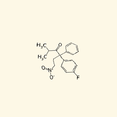 CC(C)C(=O)C(CC[N+](=O)[O-])(c1ccccc1)c1ccc(F)cc1